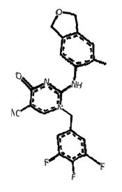 Cc1cc2c(cc1Nc1nc(=O)c(C#N)cn1Cc1cc(F)c(F)c(F)c1)COC2